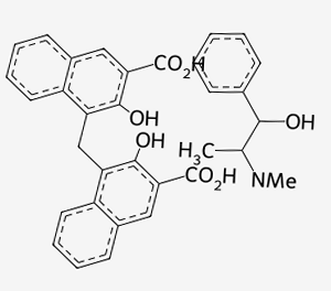 CNC(C)C(O)c1ccccc1.O=C(O)c1cc2ccccc2c(Cc2c(O)c(C(=O)O)cc3ccccc23)c1O